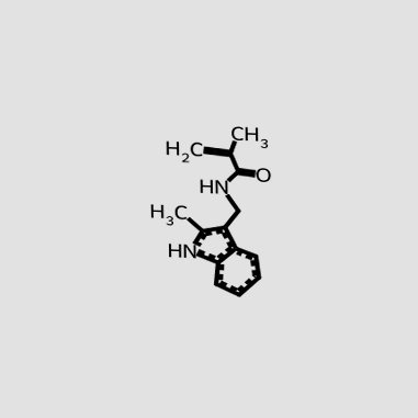 C=C(C)C(=O)NCc1c(C)[nH]c2ccccc12